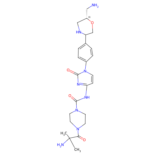 CC(C)(N)C(=O)N1CCN(C(=O)Nc2ccn(-c3ccc(C4CO[C@@H](CN)CN4)cc3)c(=O)n2)CC1